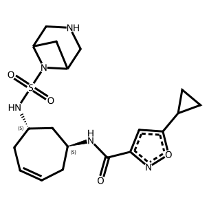 O=C(N[C@H]1CC=CC[C@H](NS(=O)(=O)N2C3CNCC2C3)C1)c1cc(C2CC2)on1